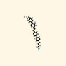 Cc1ccc(-c2ccc(CCC3CCC([C@H]4CC[C@H](CCCCF)CC4)CC3)cc2F)cc1